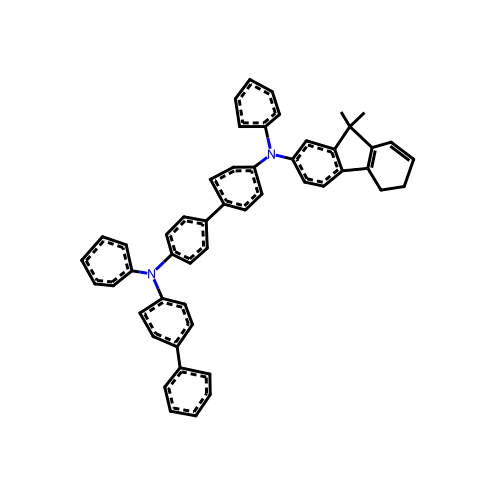 CC1(C)C2=C(CCC=C2)c2ccc(N(c3ccccc3)c3ccc(-c4ccc(N(c5ccccc5)c5ccc(-c6ccccc6)cc5)cc4)cc3)cc21